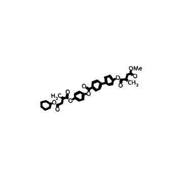 C=C(CC(=O)OC)C(=O)Oc1ccc(-c2ccc(C(=O)Oc3ccc(OC(=O)C(=C)CC(=O)OC4CCCCC4)cc3)cc2)cc1